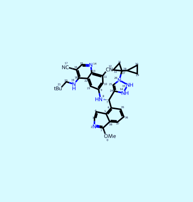 COc1nccc2c([C@H](Nc3cc(C#N)c4ncc(C#N)c(NCC(C)(C)C)c4c3)C3=CN(C4(C5CC5)CC4)NN3)cccc12